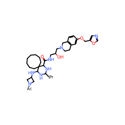 CC(=O)N1CC(NC2NC(C(C)C)NC(C(=O)NC[C@H](O)CN3CCc4cc(OCc5cnco5)ccc4C3)C23CCCCCCCC3)C1